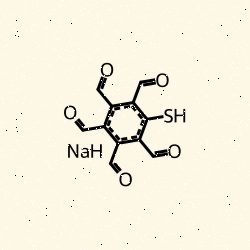 O=Cc1c(S)c(C=O)c(C=O)c(C=O)c1C=O.[NaH]